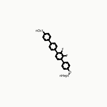 CCCCCCCCc1ccc(-c2ccc(-c3ccc(-c4ccc(OCCCCCCC)cc4)c(F)c3F)cc2)cc1